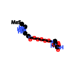 CSc1ccc(-c2ccc/c(=N/C(=N)Nc3ccc(C4=CCN(C(=O)CCOCCOCCOCCOCCOCCNC5=C6C(=O)N(C7CCC(=O)NC7=O)C(=O)C6=CCC5)CC4)cc3)[nH]2)cc1